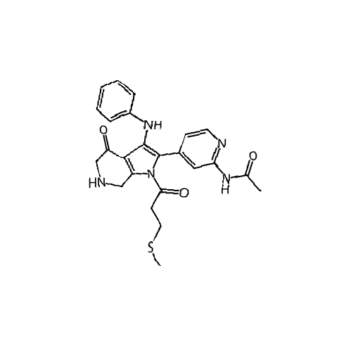 CSCCC(=O)n1c2c(c(Nc3ccccc3)c1-c1ccnc(NC(C)=O)c1)C(=O)CNC2